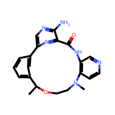 CC1OCCN(C)c2ccncc2NC(=O)c2nc(cnc2N)-c2cccc1c2